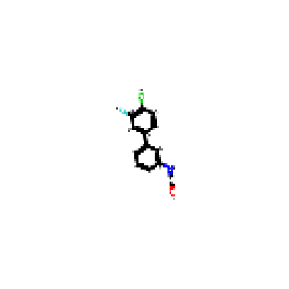 O=C=Nc1cccc(-c2ccc(Cl)c(F)c2)c1